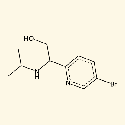 CC(C)NC(CO)c1ccc(Br)cn1